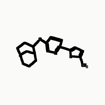 Cc1ccc(-c2ccc(OC3CCN4CCCC3C4)cn2)s1